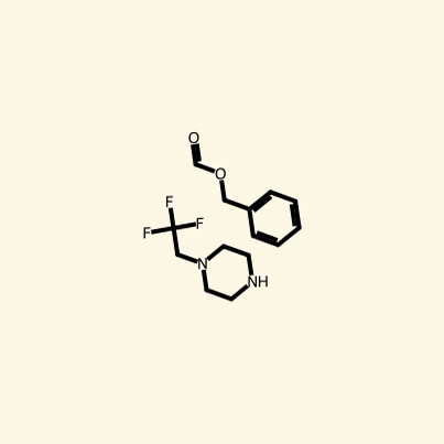 FC(F)(F)CN1CCNCC1.O=COCc1ccccc1